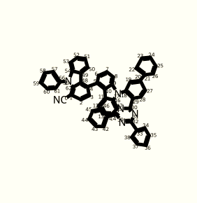 N#Cc1ccc(-c2cccc3c2c2ccccc2n3-c2cc(-c3ccccc3)ccc2-c2nc(-c3ccccc3)nc(-c3ccccc3)n2)c2c3ccccc3n(-c3ccccc3)c12